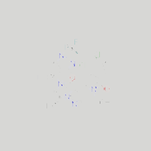 C[C@@H]1Cc2nn3c(c2CN1C(=O)c1ccc(Cl)c(Cl)c1)C(=O)N([C@@H](C)c1cnc(C(F)(F)F)nc1)C[C@H]3C